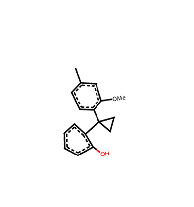 COc1cc(C)ccc1C1(c2ccccc2O)CC1